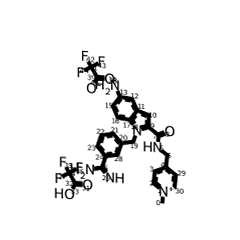 C[n+]1ccc(CNC(=O)c2cc3cc(N)ccc3n2Cc2cccc(C(=N)N)c2)cc1.O=C(O)C(F)(F)F.O=C([O-])C(F)(F)F